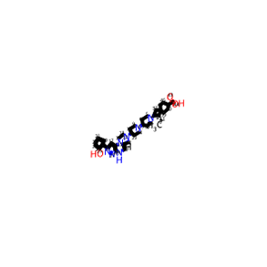 CC[C@@H]1[C@@H](N2CCC(N3CCC(N4CCN5c6cc(-c7ccccc7O)nnc6NC[C@H]5C4)CC3)CC2)CC12CCC(C(=O)O)CC2